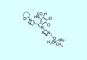 CC(C)(C)[Si](C)(C)OCCn1cc(-n2cc(-c3cnn(C4CCCCO4)c3)c3c(NC(=O)O)cc(Cl)c(Cl)c32)nn1